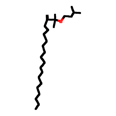 C=C(CCCCCCCCCCCCCCCCC)C(C)(C)OCCC(C)C